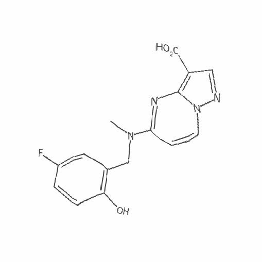 CN(Cc1cc(F)ccc1O)c1ccn2ncc(C(=O)O)c2n1